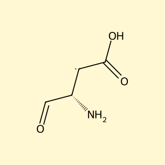 N[C@@H]([CH]C(=O)O)C=O